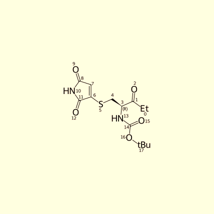 CCC(=O)[C@H](CSC1=CC(=O)NC1=O)NC(=O)OC(C)(C)C